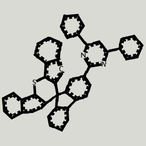 c1ccc(-c2cc(-c3ccccc3)nc(-c3ccc4c(c3)C3(c5ccccc5-4)c4ccc5ccccc5c4Sc4c3ccc3ccccc43)n2)cc1